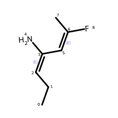 CC/C=C(N)\C=C(/C)F